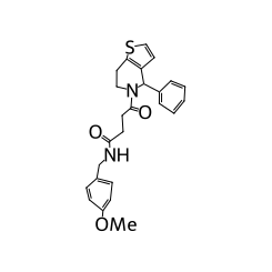 COc1ccc(CNC(=O)CCC(=O)N2CCc3sccc3C2c2ccccc2)cc1